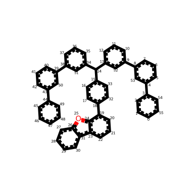 c1ccc(-c2cccc(-c3cccc(C(c4ccc(-c5cccc6c5oc5ccccc56)cc4)c4cccc(-c5cccc(-c6ccccc6)c5)c4)c3)c2)cc1